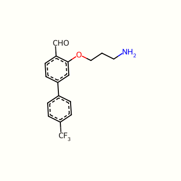 NCCCOc1cc(-c2ccc(C(F)(F)F)cc2)ccc1C=O